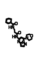 O=C(CCNC(=O)c1ccccc1)Nc1cc(N2CCOCC2)n2nccc2n1